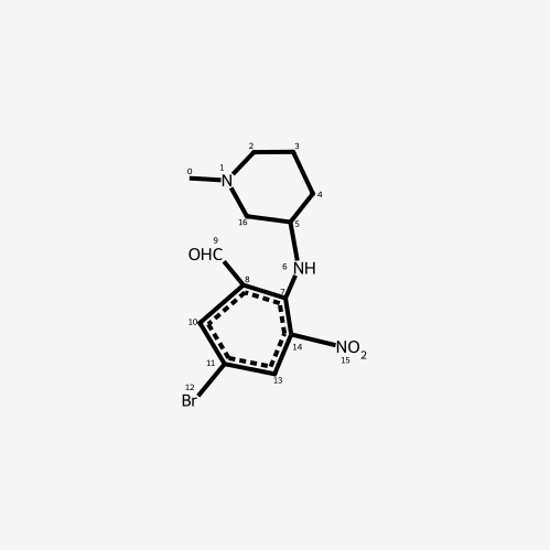 CN1CCCC(Nc2c(C=O)cc(Br)cc2[N+](=O)[O-])C1